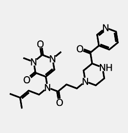 CC(C)=CCN(C(=O)CCN1CCNC(C(=O)c2cccnc2)C1)c1cn(C)c(=O)n(C)c1=O